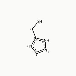 SCc1ncn[nH]1